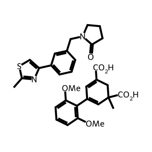 COc1cccc(OC)c1C1=CC(C)(C(=O)O)CC(C(=O)O)=C1.Cc1nc(-c2cccc(CN3CCCC3=O)c2)cs1